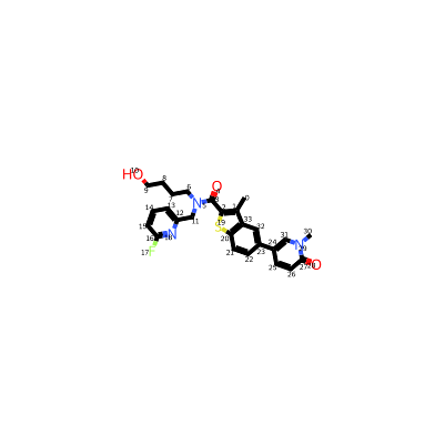 Cc1c(C(=O)N(CCCCO)Cc2cccc(F)n2)sc2ccc(-c3ccc(=O)n(C)c3)cc12